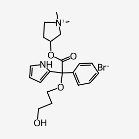 C[N+]1(C)CCC(OC(=O)C(OCCCO)(c2ccccc2)c2ccc[nH]2)C1.[Br-]